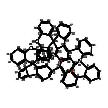 c1ccc(-c2ccccc2N(c2ccc(-c3ccc4c(c3)C3(c5ccccc5Oc5ccccc53)c3ccccc3-4)cc2)c2ccccc2-c2cccc3c2-c2ccccc2C32c3ccccc3Oc3ccccc32)cc1